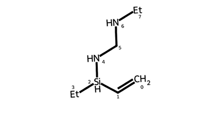 C=C[SiH](CC)NCNCC